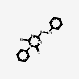 CCc1nc(NNc2ccccc2)nc(=O)n1-c1ccccc1